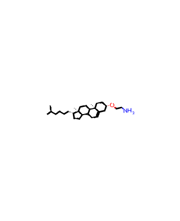 CC(C)CCCC[C@H]1CCC2C3CC=C4C[C@@H](OCCN)CC[C@]4(C)C3CC[C@@]21C